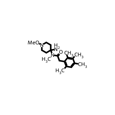 CON1CCC(N)(N(C)C(=O)Cc2c(C)cc(C)c(C)c2C)CC1